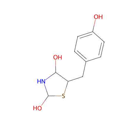 Oc1ccc(CC2SC(O)NC2O)cc1